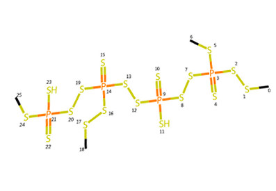 CSSP(=S)(SC)SSP(=S)(S)SSP(=S)(SSC)SSP(=S)(S)SC